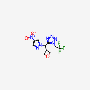 O=[N+]([O-])c1cnn(C(c2nnnn2CC(F)(F)F)C2COC2)c1